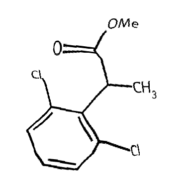 COC(=O)C(C)c1c(Cl)cccc1Cl